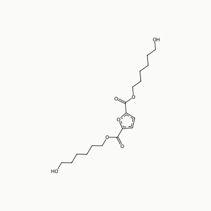 O=C(OCCCCCCO)c1ccc(C(=O)OCCCCCCO)o1